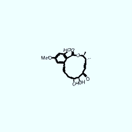 COc1cc(O)c2c(c1)/C=C/C[C@H](O)[C@H](O)C(=O)/C=C\[C@@H](C)[C@H](C)OC2=O